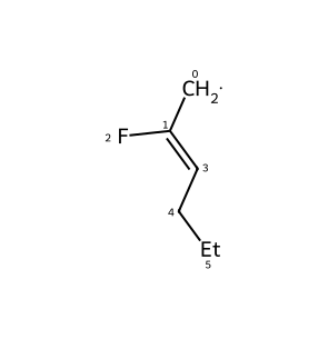 [CH2]/C(F)=C/CCC